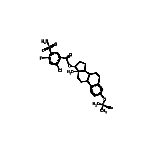 CC(C)(C)[Si](C)(C)Oc1ccc2c(c1)CCC1C2CC[C@@]2(C)C1CC[C@@H]2OC(=O)c1cc(S(N)(=O)=O)c(F)cc1Cl